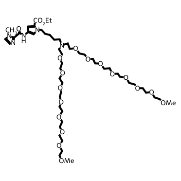 CCOC(=O)c1cc(NC(=O)c2nccn2C)cn1CCCCCN(CCOCCOCCOCCOCCOCCOCCOCCOC)CCOCCOCCOCCOCCOCCOCCOCCOC